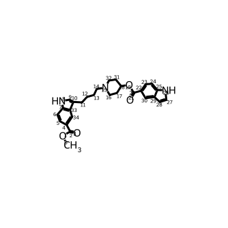 COC(=O)c1ccc2[nH]cc(CCCCN3CCC(OC(=O)c4ccc5[nH]ccc5c4)CC3)c2c1